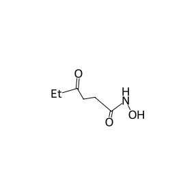 CCC(=O)CCC(=O)NO